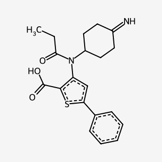 CCC(=O)N(c1cc(-c2ccccc2)sc1C(=O)O)C1CCC(=N)CC1